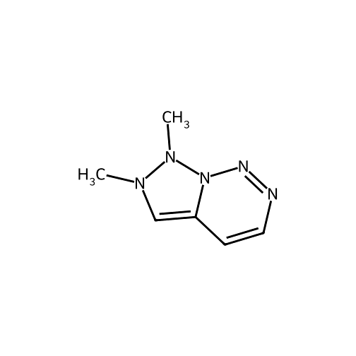 CN1C=C2C=CN=NN2N1C